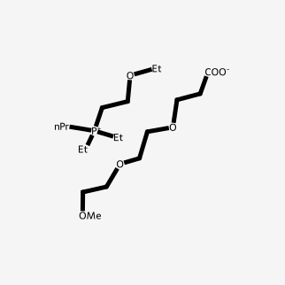 CCC[P+](CC)(CC)CCOCC.COCCOCCOCCC(=O)[O-]